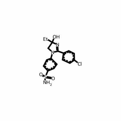 CCC1(O)CN(c2ccc(S(N)(=O)=O)cc2)C(c2ccc(Cl)cc2)=N1